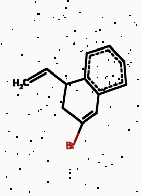 C=CC1CC(Br)=Cc2ccccc21